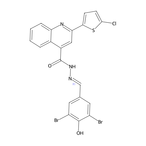 O=C(N/N=C/c1cc(Br)c(O)c(Br)c1)c1cc(-c2ccc(Cl)s2)nc2ccccc12